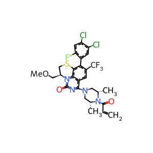 C=CC(=O)N1[C@H](C)CN(c2nc(=O)n3c4c(c(-c5cc(Cl)c(Cl)cc5F)c(C(F)(F)F)cc24)SC[C@@H]3COC)C[C@@H]1C